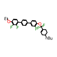 CCCCC1CC=C(C(F)(F)Oc2ccc(-c3ccc(-c4ccc(OCC)c(F)c4F)cc3)cc2F)CC1